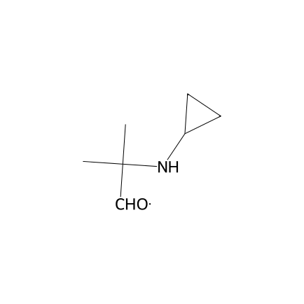 CC(C)([C]=O)NC1CC1